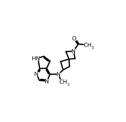 CC(=O)N1CC2(CC(N(C)c3ncnc4[nH]ccc34)C2)C1